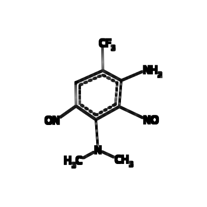 CN(C)c1c(N=O)cc(C(F)(F)F)c(N)c1N=O